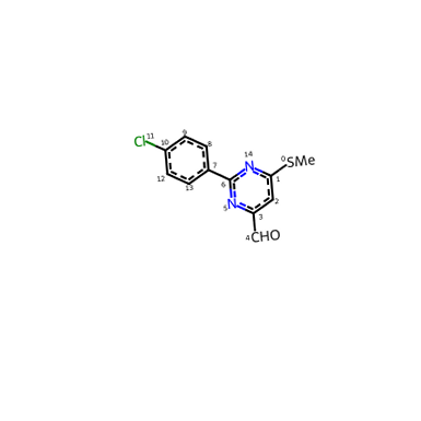 CSc1cc(C=O)nc(-c2ccc(Cl)cc2)n1